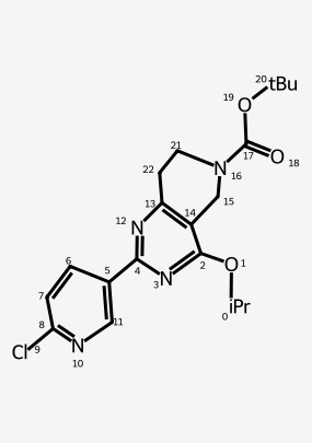 CC(C)Oc1nc(-c2ccc(Cl)nc2)nc2c1CN(C(=O)OC(C)(C)C)CC2